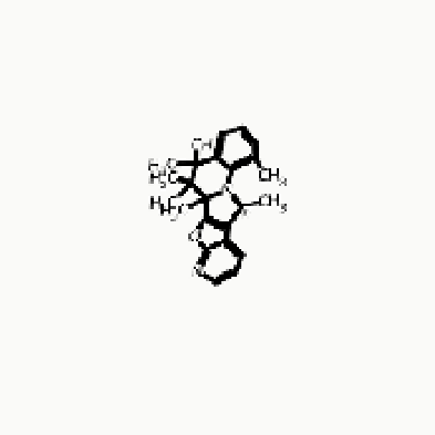 Cc1cccc2c1N1[C@@H](C)c3c(oc4ncccc34)C1(C)C(C)(C)C2(C)C